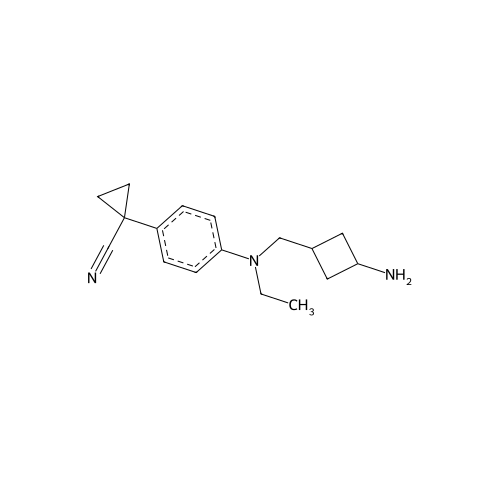 CCN(CC1CC(N)C1)c1ccc(C2(C#N)CC2)cc1